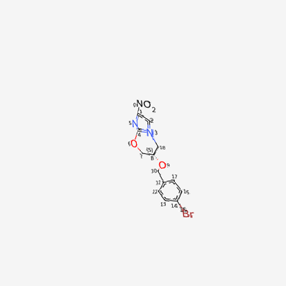 O=[N+]([O-])c1cn2c(n1)OC[C@@H](OCc1ccc(Br)cc1)C2